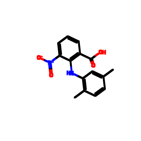 Cc1ccc(C)c(Nc2c(C(=O)O)cccc2[N+](=O)[O-])c1